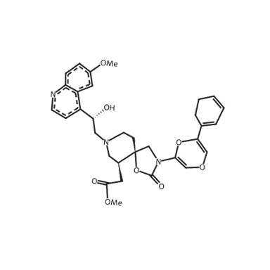 COC(=O)C[C@H]1CN(C[C@@H](O)c2ccnc3ccc(OC)cc23)CC[C@]12CN(C1=COC=C(C3=CC=CCC3)O1)C(=O)O2